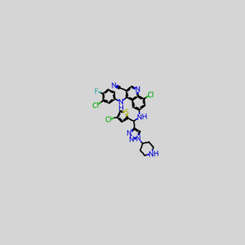 N#Cc1cnc2c(Cl)cc(NC(c3cn(C4CCNCC4)nn3)c3cc(Cl)cs3)cc2c1Nc1ccc(F)c(Cl)c1